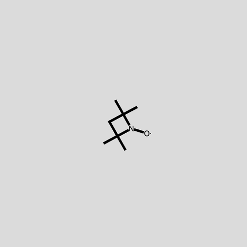 CC1(C)CC(C)(C)N1[O]